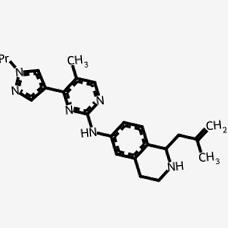 C=C(C)CC1NCCc2cc(Nc3ncc(C)c(-c4cnn(C(C)C)c4)n3)ccc21